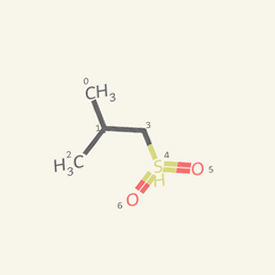 C[C](C)C[SH](=O)=O